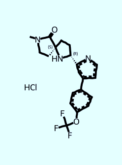 CN1CC[C@@]2(CC[C@H](c3cc(-c4ccc(OC(F)(F)F)cc4)ccn3)N2)C1=O.Cl